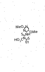 CCC(=S)N(C(=O)O)C(=S)Nc1nc(OC)ncc1OC